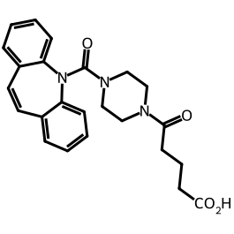 O=C(O)CCCC(=O)N1CCN(C(=O)N2c3ccccc3C=Cc3ccccc32)CC1